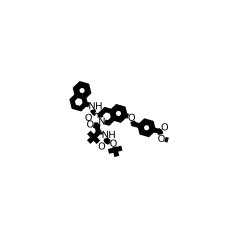 COC(=O)c1ccc(COc2ccc3c(c2)CN(C(=O)[C@@H](NC(=O)OC(C)(C)C)C(C)(C)C)[C@H](C(=O)NC2CCCc4ccccc42)C3)cc1